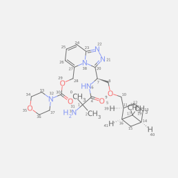 CC(C)(N)C(=O)N[C@H](COC[C@H]1CC[C@H]2C[C@@H]1C2(C)C)c1nnc2cccc(COC(=O)N3CCOCC3)n12